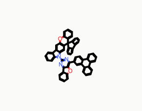 c1ccc2c(c1)Oc1cc3c4ccccc4n(-c4nc(-c5ccc6c7ccccc7c7ccccc7c6c5)c5oc6ccccc6c5n4)c3cc1C21c2ccccc2-c2ccccc21